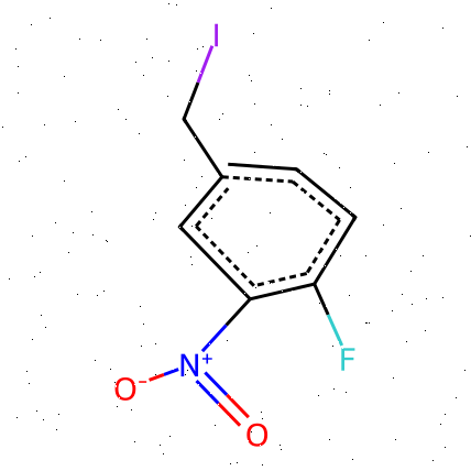 O=[N+]([O-])c1cc(CI)ccc1F